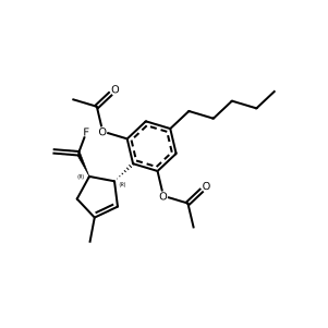 C=C(F)[C@@H]1CC(C)=C[C@H]1c1c(OC(C)=O)cc(CCCCC)cc1OC(C)=O